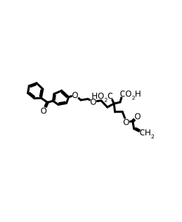 C=CC(=O)OCCC(CCOCCOc1ccc(C(=O)c2ccccc2)cc1)(CC(=O)O)C(=O)O